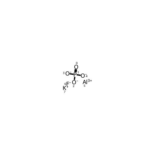 O=P([O-])([O-])[O-].[Al+3].[F-].[K+]